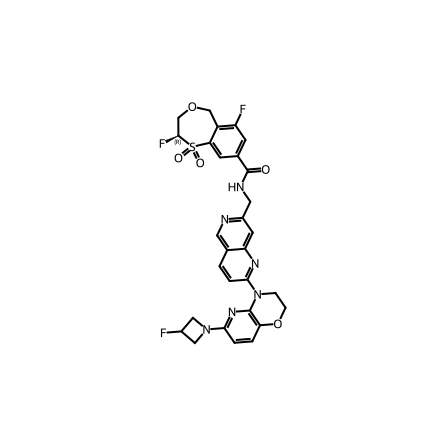 O=C(NCc1cc2nc(N3CCOc4ccc(N5CC(F)C5)nc43)ccc2cn1)c1cc(F)c2c(c1)S(=O)(=O)[C@@H](F)COC2